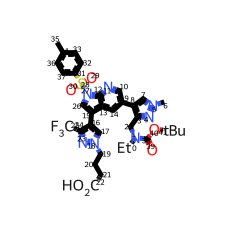 CCN(Cc1nn(C)cc1-c1cnc2c(c1)c(-c1cn(CCCC(=O)O)nc1C(F)(F)F)cn2S(=O)(=O)c1ccc(C)cc1)C(=O)OC(C)(C)C